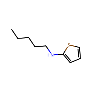 CCCCCNc1cccs1